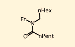 [CH2]CCCCC(=O)N(CC)CCCCCCC